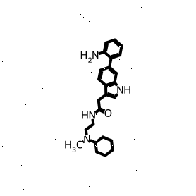 CN(CCNC(=O)Cc1c[nH]c2cc(-c3ccccc3N)ccc12)C1CCCCC1